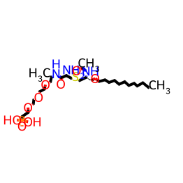 CCCCCCCCCCCCOC[C@H](CSC[C@H](N)C(=O)N[C@@H](C)COCCOCCOCCP(=O)(O)O)NC(C)=O